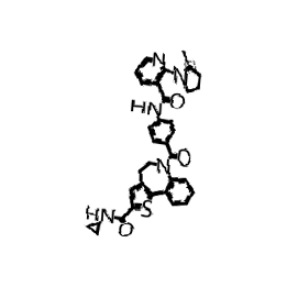 C[C@H]1CCCN1c1ncccc1C(=O)Nc1ccc(C(=O)N2CCc3cc(C(=O)NC4CC4)sc3-c3ccccc32)cc1